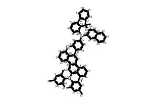 Cc1cc(C)c(B2c3c(C)cc(C)cc3-c3cccc4c3c2cc2c3cccc5c3c(cc42)-c2ccc(N(c3ccc4ccccc4c3)c3cccc4c3C(C)(C)c3ccccc3-4)cc2O5)c(C)c1